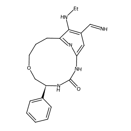 CCNc1c(C=N)cc2nc1CCCOC[C@H](c1ccccc1)NC(=O)N2